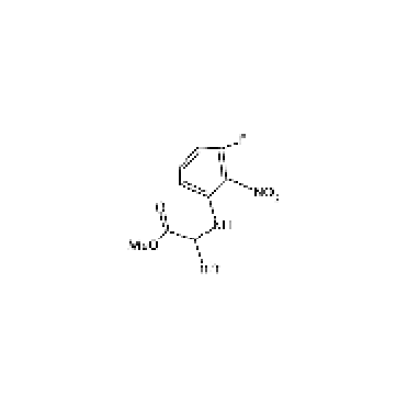 CCCC(Nc1cccc(F)c1[N+](=O)[O-])C(=O)OC